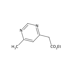 CCOC(=O)Cc1cc(C)ncn1